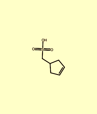 O=S(=O)(O)CC1CC=CC1